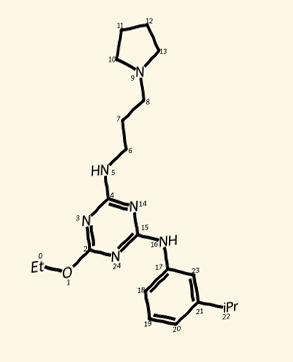 CCOc1nc(NCCCN2CCCC2)nc(Nc2cccc(C(C)C)c2)n1